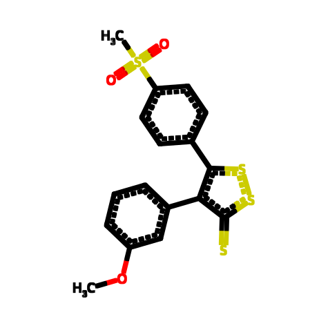 COc1cccc(-c2c(-c3ccc(S(C)(=O)=O)cc3)ssc2=S)c1